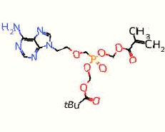 C=C(C)C(=O)OCOP(=O)(COCCn1cnc2c(N)ncnc21)OCOC(=O)C(C)(C)C